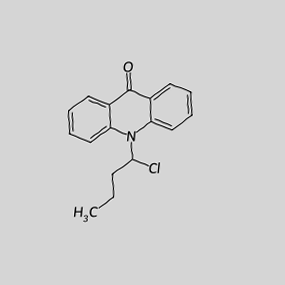 CCCC(Cl)n1c2ccccc2c(=O)c2ccccc21